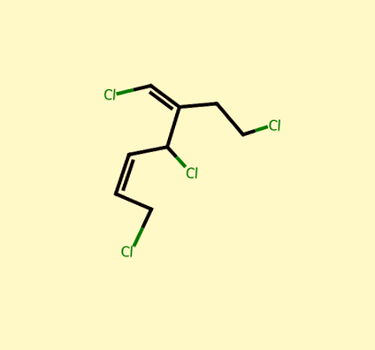 Cl/C=C(/CCCl)C(Cl)/C=C\CCl